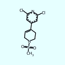 CS(=O)(=O)N1CC=C(c2cc(Cl)nc(Cl)c2)CC1